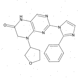 O=C1CN(C2CCOC2)c2nc(-n3ccnc3-c3ccccc3)ncc2N1